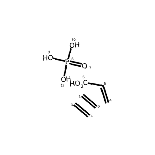 C=C.C=C.C=CC(=O)O.O=P(O)(O)O